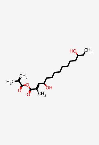 C=C(C)C(=O)OC(=O)C(C)=CC(O)CCCCCCCCC(O)CC